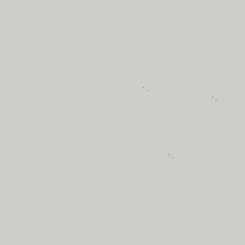 COc1ccc(Cn2c(C)cc(NC3CCCOC3)c(C=N)c2=O)cc1